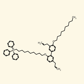 C=CCc1ccc(OCCCCCCCCCC[PH](c2ccccc2)(c2ccccc2)c2ccccc2)c(-c2ccc(OCCCCCCCCCC)c(CC=C)c2)c1